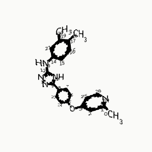 Cc1cc(Oc2ccc(-c3nnc(Nc4ccc(C)c(C)c4)[nH]3)cc2)ccn1